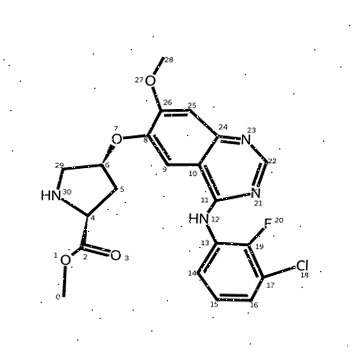 COC(=O)[C@@H]1C[C@H](Oc2cc3c(Nc4cccc(Cl)c4F)ncnc3cc2OC)CN1